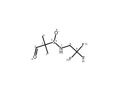 CC(C)(C=O)[S+]([O-])NCC(F)(F)F